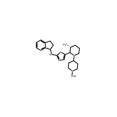 C[C@@H]1CCCN(C2CCN(C=O)CC2)C1c1cnc(NC2CCc3cccnc32)s1